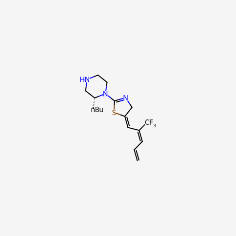 C=C/C=C(\C=C1/CN=C(N2CCNC[C@H]2CCCC)S1)C(F)(F)F